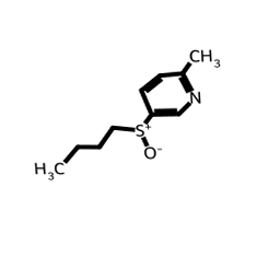 CCCC[S+]([O-])c1ccc(C)nc1